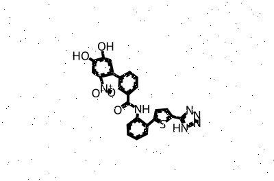 O=C(Nc1ccccc1-c1ccc(-c2nnn[nH]2)s1)c1cccc(-c2cc(O)c(O)cc2[N+](=O)[O-])c1